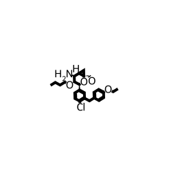 CCCCO[C@@H]1[C@@H](N)[C@H]2C[C@@]2(C=O)O[C@H]1c1ccc(Cl)c(Cc2ccc(OCC)cc2)c1